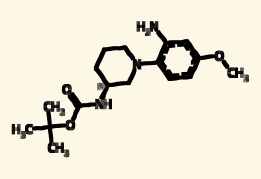 COc1ccc(N2CCC[C@H](NC(=O)OC(C)(C)C)C2)c(N)c1